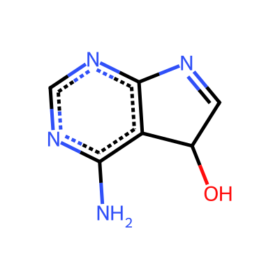 Nc1ncnc2c1C(O)C=N2